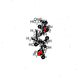 CCCC[C@@H](C(=O)N1CCC[C@@H]1C(=O)N[C@H](C=O)CC(=O)O)N(C)C(=O)[C@H](Cc1ccccc1)N(C)C(=O)[C@H](Cc1cc(F)c(F)c(F)c1)NC(=O)CSC[C@H](NC(=O)[C@H](CCCN)NC(=O)[C@H](Cc1ccc(O)cc1)NC(=O)[C@H](Cc1c[nH]c2ccccc12)NC(=O)[C@H]1C[C@H](O)CN1C(=O)[C@H](Cc1ccc(O)cc1)NCC(=O)[C@H](Cc1ccccc1)N(C)C(=O)[C@@H](N)C(C)C)C(=O)NCC(N)=O